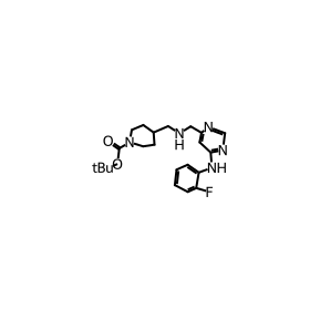 CC(C)(C)OC(=O)N1CCC(CNCc2cc(Nc3ccccc3F)ncn2)CC1